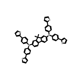 CC1(C)c2cc(N(c3ccc(-c4cccs4)cc3)c3ccc(-c4cccs4)cc3)ccc2-c2ccc(N(c3ccc(-c4cccs4)cc3)c3ccc(-c4cccs4)cc3)cc21